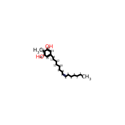 CCCCCC/C=C\CCCCCCCc1cc(O)c(C)c(O)c1